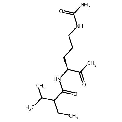 CCC(C(=O)N[C@@H](CCCNC(N)=O)C(C)=O)C(C)C